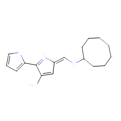 CC1=C/C(=C\NC2CCCCCCC2)N=C1c1ccc[nH]1